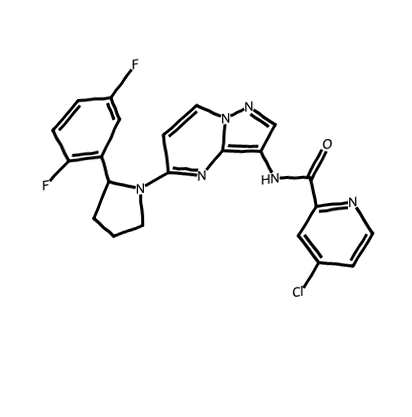 O=C(Nc1cnn2ccc(N3CCCC3c3cc(F)ccc3F)nc12)c1cc(Cl)ccn1